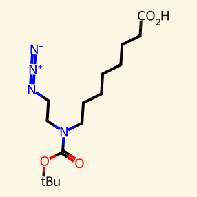 CC(C)(C)OC(=O)N(CCCCCCCC(=O)O)CCN=[N+]=[N-]